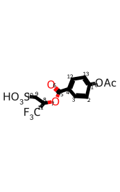 CC(=O)Oc1ccc(C(=O)OC(CS(=O)(=O)O)C(F)(F)F)cc1